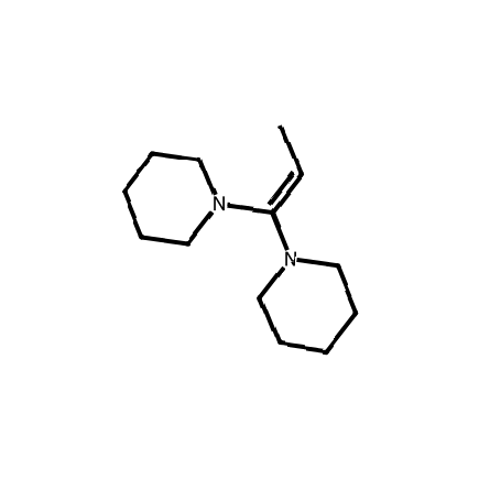 CC=C(N1CCCCC1)N1CCCCC1